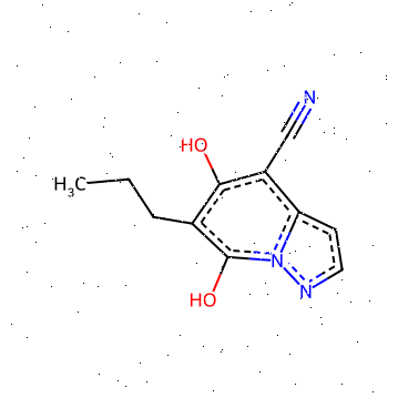 CCCc1c(O)c(C#N)c2ccnn2c1O